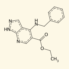 CCOC(=O)c1cnc2[nH]ncc2c1NCc1ccccc1